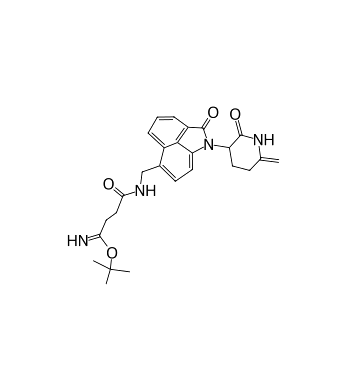 C=C1CCC(N2C(=O)c3cccc4c(CNC(=O)CCC(=N)OC(C)(C)C)ccc2c34)C(=O)N1